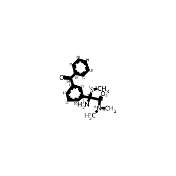 CSC(N)(C(=O)N(C)C)c1cccc(C(=O)c2ccccc2)c1